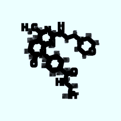 Cc1nc(NCCN2CCOCC2)nc2c1ccc(=O)n2-c1ccc(C(=O)NCC(C)C)cc1